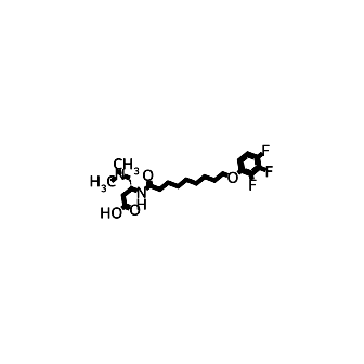 CN(C)C[C@@H](CC(=O)O)NC(=O)CCCCCCCCOc1ccc(F)c(F)c1F